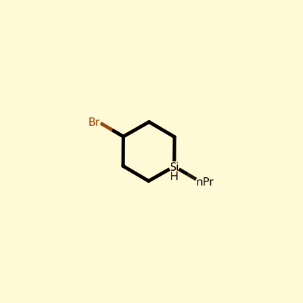 CCC[SiH]1CCC(Br)CC1